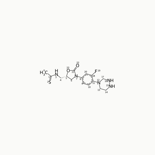 CC(=S)NC[C@H]1CN(c2ccc(N3CCNNC3)c(F)c2)C(=O)O1